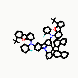 CC(C)(C)c1cccc2c1oc1c(N(c3ccc4c(c3)c3cc(N(c5ccccc5F)c5cccc6c5oc5c(C(C)(C)C)cccc56)cc5c3n4-c3ccccc3C53c4ccc5ccccc5c4-c4c3ccc3ccccc43)c3ccccc3F)cccc12